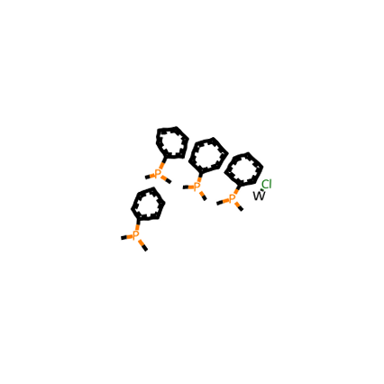 CP(C)c1ccccc1.CP(C)c1ccccc1.CP(C)c1ccccc1.CP(C)c1ccccc1.[Cl][W]